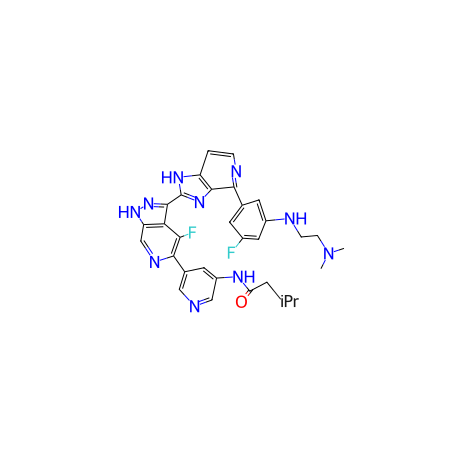 CC(C)CC(=O)Nc1cncc(-c2ncc3[nH]nc(-c4nc5c(-c6cc(F)cc(NCCN(C)C)c6)nccc5[nH]4)c3c2F)c1